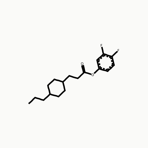 CCCC1CCC(CCC(=O)Oc2ccc(F)c(F)c2)CC1